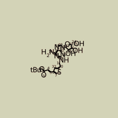 CC(C)(C)OC(=O)C=Cc1csc(CCNc2nc(N)c3ncn([C@@H]4O[C@H](CO)C(O)C4O)c3n2)c1